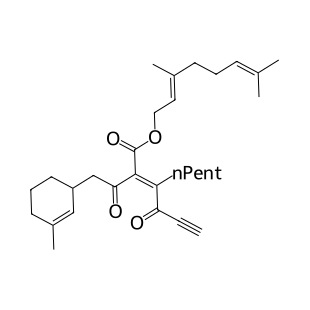 C#CC(=O)/C(CCCCC)=C(\C(=O)CC1C=C(C)CCC1)C(=O)OC/C=C(\C)CCC=C(C)C